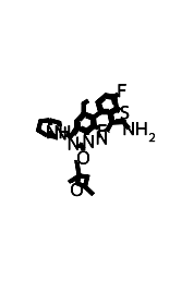 CCc1cc2c(N3CC4CCC(C3)N4)nc(OCC34COC(C)(C3)C4)nc2c(F)c1-c1ccc(F)c2sc(N)c(C#N)c12